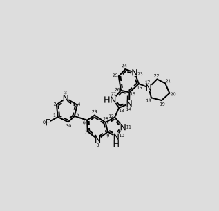 Fc1cncc(-c2cnc3[nH]nc(-c4nc5c(N6CCCCC6)nccc5[nH]4)c3c2)c1